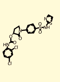 O=C(Nc1ccc(Cl)cc1Cl)O[C@H]1CCN(c2ccc(S(=O)(=O)Nc3nccs3)cc2)C1=O